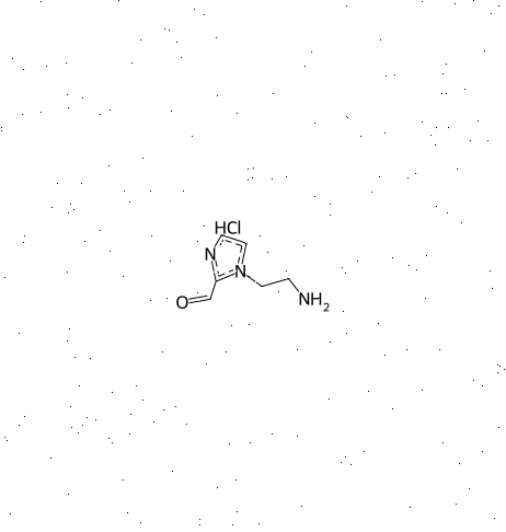 Cl.NCCn1ccnc1C=O